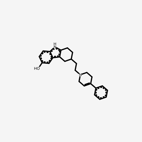 Oc1ccc2[nH]c3c(c2c1)CC(CCN1CC=C(c2ccccc2)CC1)CC3